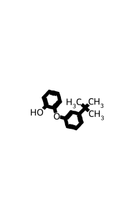 CC(C)(C)c1cccc(Oc2ccccc2O)c1